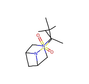 CC(C)N1CC2CC(C1)N2S(=O)(=O)CC(C)(C)C